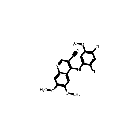 COc1cc(Nc2c(C#N)cnc3cc(OC)c(OC)cc23)c(Cl)cc1Cl